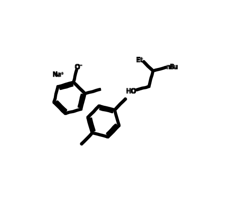 CCCCC(CC)CO.Cc1ccc(C)cc1.Cc1ccccc1[O-].[Na+]